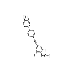 Cc1ccc(-c2ccc(C#Cc3cc(F)c(N=C=S)c(F)c3)cc2)cc1